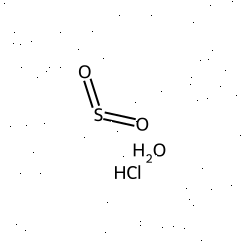 Cl.O.O=S=O